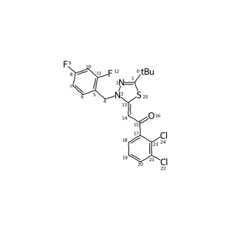 CC(C)(C)C1=NN(Cc2ccc(F)cc2F)C(=CC(=O)c2cccc(Cl)c2Cl)S1